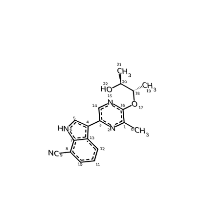 Cc1nc(-c2c[nH]c3c(C#N)cccc23)cnc1O[C@@H](C)[C@H](C)O